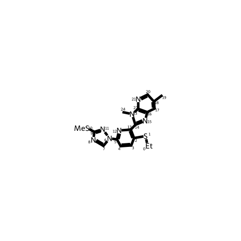 CCSc1ccc(-n2cnc(SC)n2)nc1-c1nc2cc(C)cnc2n1C